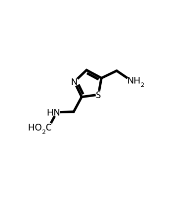 NCc1cnc(CNC(=O)O)s1